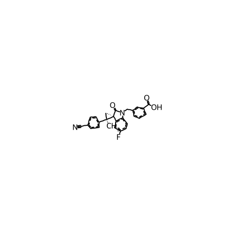 C[C@]1(c2ccc(C#N)cc2)C[C@@]12C(=O)N(Cc1cccc(C(=O)O)c1)c1ccc(F)cc12